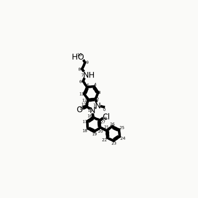 Cn1c2ccc(CNCCO)cc2c(=O)n1-c1cccc(-c2ccccc2)c1Cl